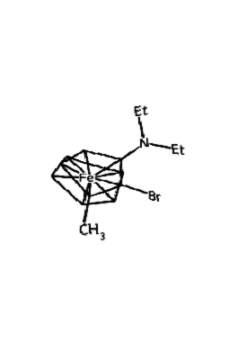 CCN(CC)[C]12[CH]3[CH]4[C]5(C)[C]1(Br)[Fe]43521678[CH]2[CH]1[CH]6[CH]7[CH]28